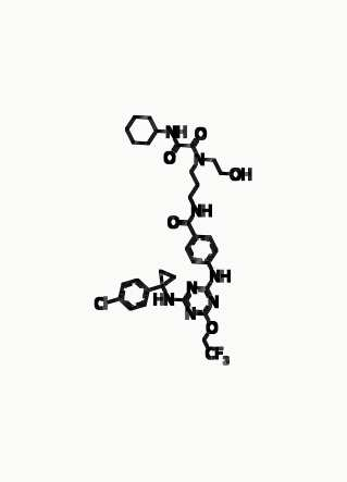 O=C(NC1CCCCC1)C(=O)N(CCO)CCCNC(=O)c1ccc(Nc2nc(NC3(c4ccc(Cl)cc4)CC3)nc(OCC(F)(F)F)n2)cc1